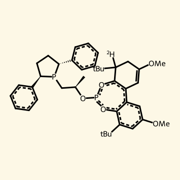 [2H]C1(C(C)(C)C)CC(OC)=Cc2c1op(O[C@H](C)CP1[C@@H](c3ccccc3)CC[C@@H]1c1ccccc1)oc1c(C(C)(C)C)cc(OC)cc21